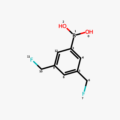 OB(O)c1cc(CF)cc(CF)c1